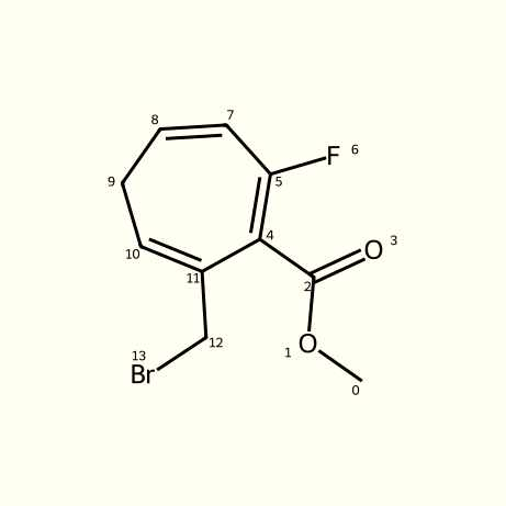 COC(=O)C1=C(F)C=CCC=C1CBr